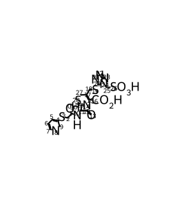 O=C(CSc1cccnc1)NC1C(=O)N2C(C(=O)O)=C(CSc3nnnn3CS(=O)(=O)O)CS[C@H]12